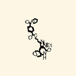 CCn1nc(CCCOC(=O)c2ccc(C(=O)N3CCCCC3)cc2)c2c1C(=O)NCC1(CCOCC1)C2